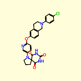 O=C1NC(=O)C2(CCCN2c2ccc(Oc3ccc4c(c3)CCN(c3ccc(Cl)cc3)C4)nc2)C(=O)N1